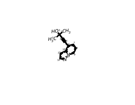 CC(C)(O)C#Cc1cccn2nccc12